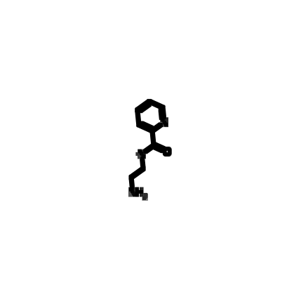 NCC[N]C(=O)c1ccccn1